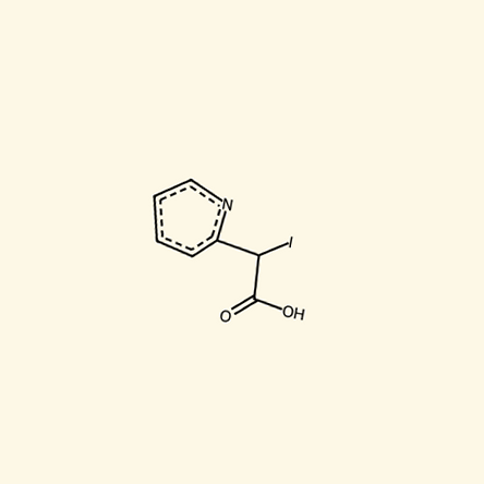 O=C(O)C(I)c1ccccn1